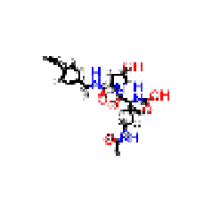 C#Cc1ccc([C@H](C)NC(=O)[C@@H]2C[C@@H](O)CN2C(=O)[C@H](NC(=O)O)C(C)(C)CCNC(C)=O)cc1